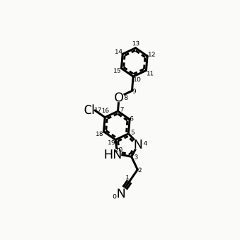 N#CCc1nc2cc(OCc3ccccc3)c(Cl)cc2[nH]1